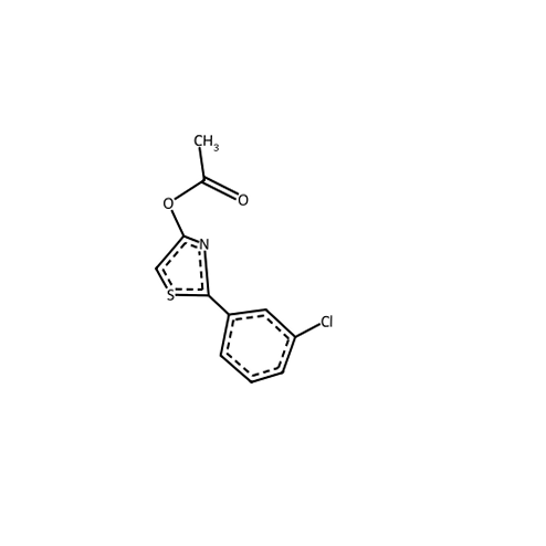 CC(=O)Oc1csc(-c2cccc(Cl)c2)n1